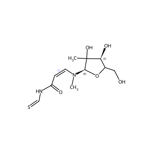 CN(/C=C\C(=O)NC=S)[C@@H]1OC(CO)[C@H](O)C1(C)O